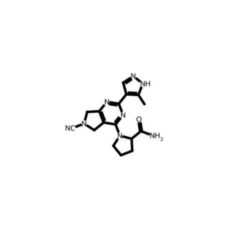 Cc1[nH]ncc1-c1nc2c(c(N3CCCC3C(N)=O)n1)CN(C#N)C2